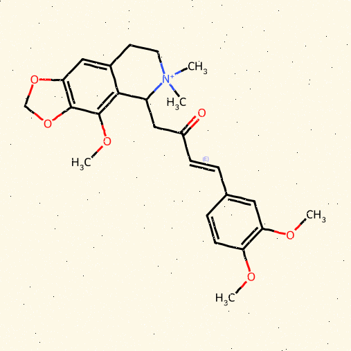 COc1ccc(/C=C/C(=O)CC2c3c(cc4c(c3OC)OCO4)CC[N+]2(C)C)cc1OC